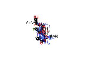 CNC(=N)NCCC[C@H](NC(=O)[C@H](CC(C)C)NC(=O)NNC(=O)[C@H](Cc1cccc(F)c1)NC(=O)C(NC(=O)[C@H](CC(N)=O)NC(=O)CNC(=O)[C@@H](Cc1ccc(O)cc1)NC(C)=O)[C@@H](C)O)C(=O)N[C@@H](Cc1c[nH]c2ccccc12)C(N)=O